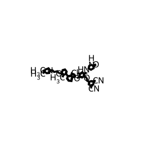 Cc1c(OCCCN2CCC(C)(C)CC2)cccc1-c1cccc2c1CC[C@@H]2Oc1cc(OCc2cc(C#N)cc(C#N)c2)c(CN[C@H]2CCC(=O)NC2)cc1Cl